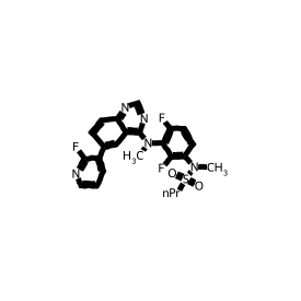 CCCS(=O)(=O)N(C)c1ccc(F)c(N(C)c2ncnc3ccc(-c4cccnc4F)cc23)c1F